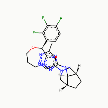 Cc1cc(N2C[C@H]3CC[C@@H](C2)[C@@H]3Nc2nc3n(n2)CCCO[C@H]3c2ccc(F)c(F)c2F)cnn1